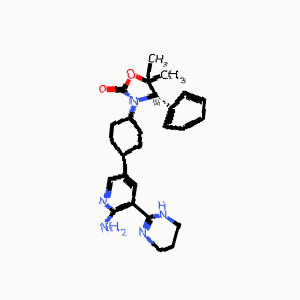 CC1(C)OC(=O)N(C2CCC(c3cnc(N)c(C4=NCCCN4)c3)CC2)[C@H]1c1ccccc1